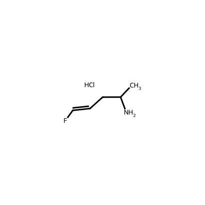 CC(N)CC=CF.Cl